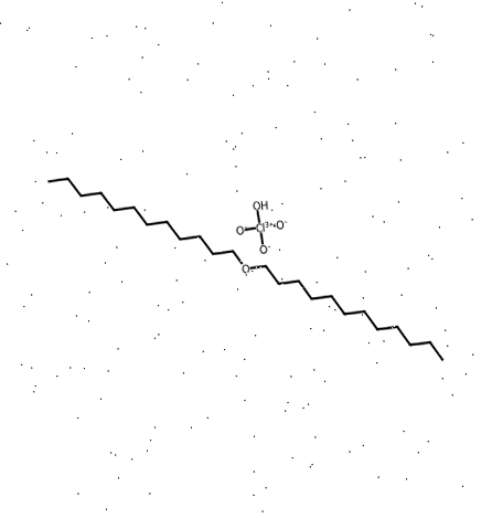 CCCCCCCCCCCCOCCCCCCCCCCCC.[O-][Cl+3]([O-])([O-])O